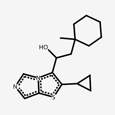 CC1(CC(O)c2c(C3CC3)sc3cncn23)CCCCC1